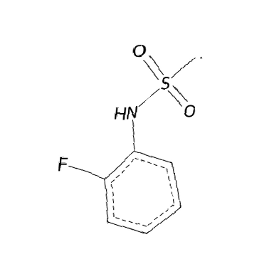 [CH2]S(=O)(=O)Nc1ccccc1F